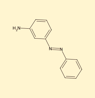 Nc1cccc(/N=N/c2ccccc2)c1